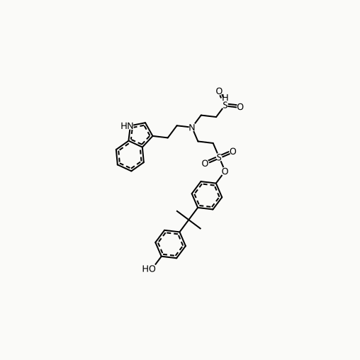 CC(C)(c1ccc(O)cc1)c1ccc(OS(=O)(=O)CCN(CCc2c[nH]c3ccccc23)CC[SH](=O)=O)cc1